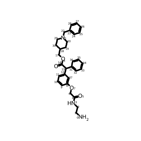 NCCNC(=O)COc1cccc(C(C(=O)OCC2CCN(Cc3ccccc3)CC2)c2ccccc2)c1